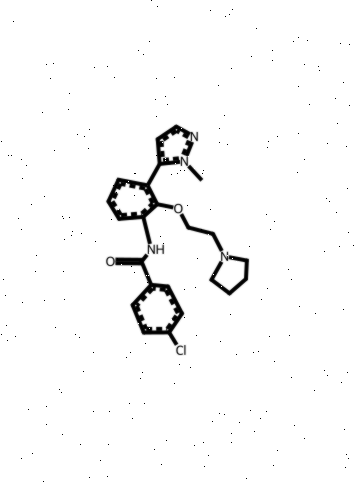 Cn1nccc1-c1cccc(NC(=O)c2ccc(Cl)cc2)c1OCCN1CCCC1